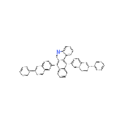 c1ccc(-c2ccc3cc(-c4c5ccccc5c(-c5ccc6cc(-c7ccccc7)ccc6c5)c5c4cnc4ccccc45)ccc3c2)cc1